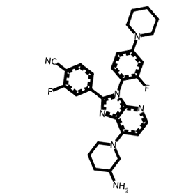 N#Cc1ccc(-c2nc3c(N4CCCC(N)C4)ccnc3n2-c2ccc(N3CCCCC3)cc2F)cc1F